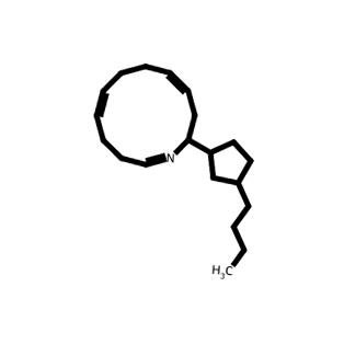 CCCCC1CCC(C2CC=CCCC=CCCC=N2)C1